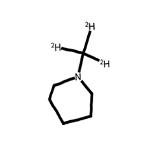 [2H]C([2H])([2H])N1CCCCC1